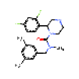 CN(Cc1cc(C(F)(F)F)cc(C(F)(F)F)c1)C(=O)N1CCNCC1c1ccc(F)cc1F